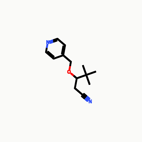 CC(C)(C)C(CC#N)OCc1ccncc1